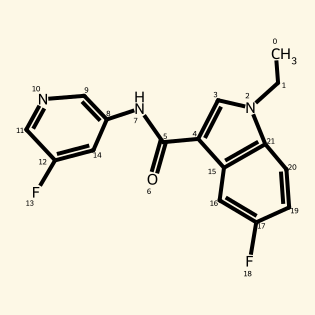 CCn1cc(C(=O)Nc2cncc(F)c2)c2cc(F)ccc21